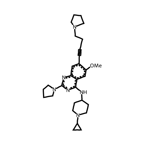 COc1cc2c(NC3CCN(C4CC4)CC3)nc(N3CCCC3)nc2cc1C#CCCN1CCCC1